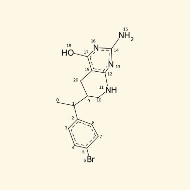 CC(c1ccc(Br)cc1)C1CNc2nc(N)nc(O)c2C1